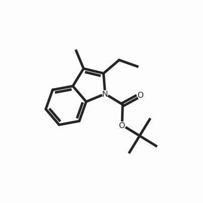 CCc1c(C)c2ccccc2n1C(=O)OC(C)(C)C